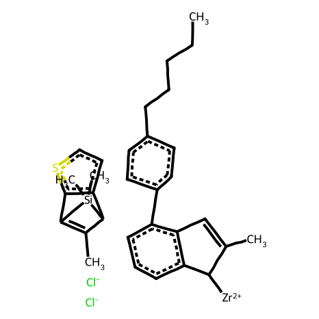 CC1=C2c3sccc3C1[Si]2(C)C.CCCCCc1ccc(-c2cccc3c2C=C(C)[CH]3[Zr+2])cc1.[Cl-].[Cl-]